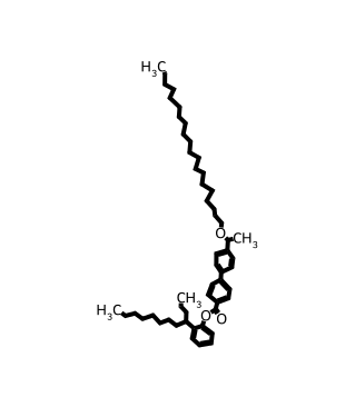 CCCCCCCCCCCCCCCCCCCCOC(C)c1ccc(-c2ccc(C(=O)Oc3ccccc3C(CCC)CCCCCCCC)cc2)cc1